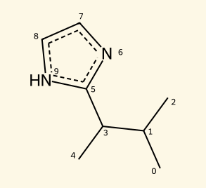 CC(C)C(C)c1ncc[nH]1